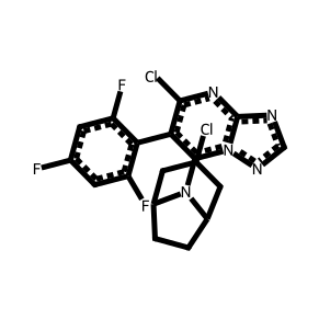 Fc1cc(F)c(-c2c(Cl)nc3ncnn3c2N2C3CCC2CC(Cl)C3)c(F)c1